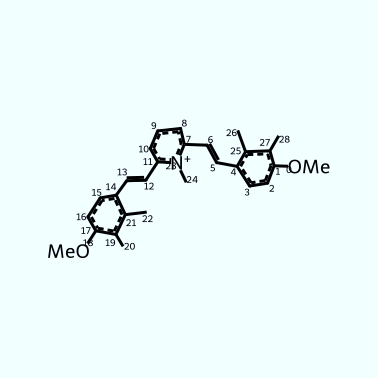 COc1ccc(/C=C/c2cccc(/C=C/c3ccc(OC)c(C)c3C)[n+]2C)c(C)c1C